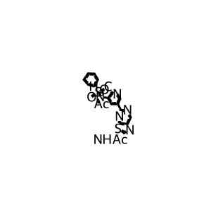 CC(=O)Nc1nc2cnc(-c3cnc(C)c(N(C(C)=O)S(=O)(=O)c4ccccc4)c3)nc2s1